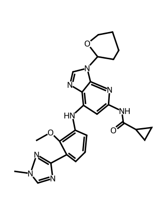 COc1c(Nc2cc(NC(=O)C3CC3)nc3c2ncn3C2CCCCO2)cccc1-c1ncn(C)n1